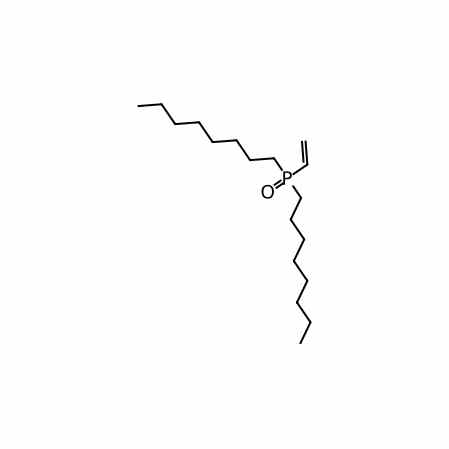 C=CP(=O)(CCCCCCCC)CCCCCCCC